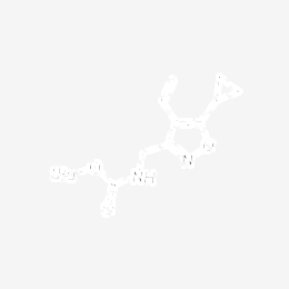 C=Cc1c(CNC(=O)OC(C)(C)C)noc1C1CC1